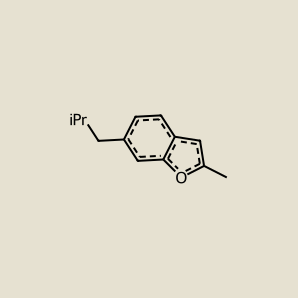 Cc1cc2ccc(CC(C)C)cc2o1